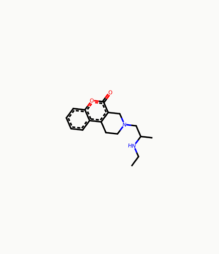 CCNC(C)CN1CCc2c(c(=O)oc3ccccc23)C1